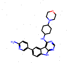 Nc1ccc(-c2ccc3[nH]c4ncnc(NC5CCC(N6CCOCC6)CC5)c4c3c2)cn1